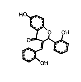 O=C1C(=Cc2ccccc2O)C(c2ccccc2O)Oc2ccc(O)cc21